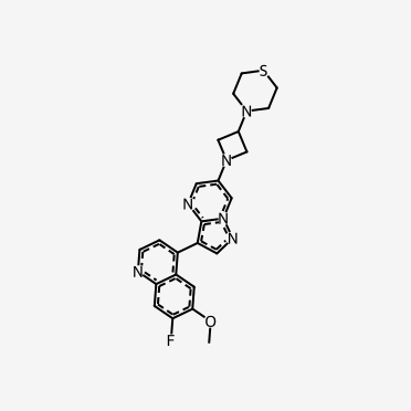 COc1cc2c(-c3cnn4cc(N5CC(N6CCSCC6)C5)cnc34)ccnc2cc1F